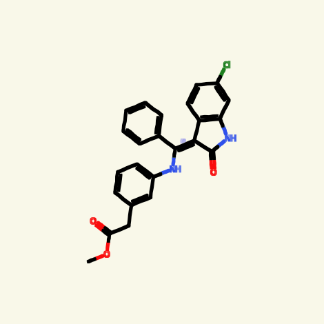 COC(=O)Cc1cccc(N/C(=C2\C(=O)Nc3cc(Cl)ccc32)c2ccccc2)c1